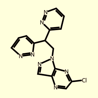 Clc1cnc2cnn(CC(c3cccnn3)c3cccnn3)c2n1